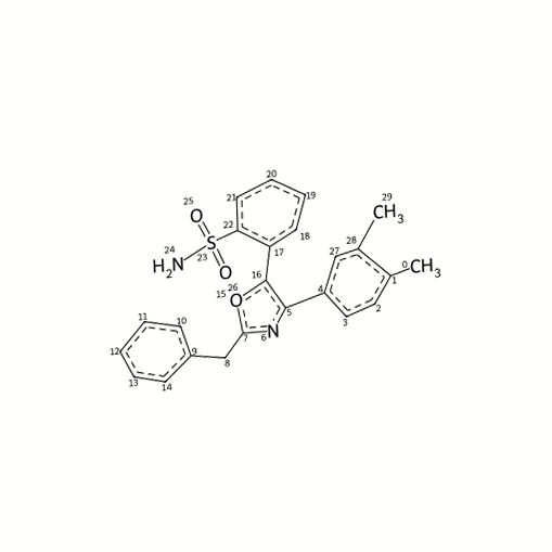 Cc1ccc(-c2nc(Cc3ccccc3)oc2-c2ccccc2S(N)(=O)=O)cc1C